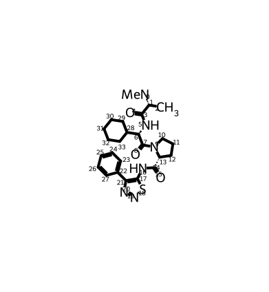 CN[C@H](C)C(=O)N[C@H](C(=O)N1CCC[C@@H]1C(=O)Nc1snnc1-c1ccccc1)C1CCCCC1